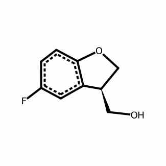 OC[C@@H]1COc2ccc(F)cc21